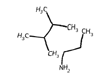 CC(C)C(C)C.CCCN